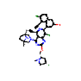 C#Cc1c(F)ccc2cc(O)cc(-c3nc(C#C)c4c(N5C[C@H]6CC[C@@H](C5)N6)nc(OC[C@@H]5C[C@H](F)CN5C)nc4c3F)c12